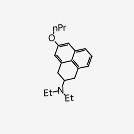 CCCOc1cc2c3c(cccc3c1)CC(N(CC)CC)C2